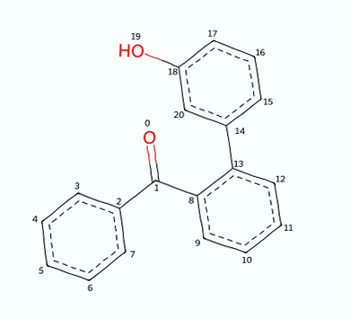 O=C(c1ccccc1)c1ccccc1-c1cccc(O)c1